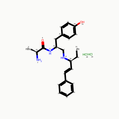 CCCC[C@H](N)C(=O)N[C@H](CN[C@H](C=Cc1ccccc1)CC(C)C)Cc1ccc(O)cc1.Cl.Cl